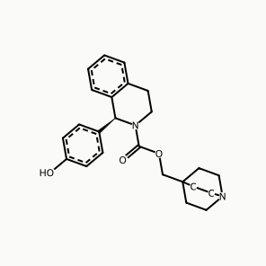 O=C(OCC12CCN(CC1)CC2)N1CCc2ccccc2[C@@H]1c1ccc(O)cc1